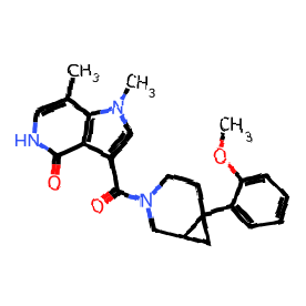 COc1ccccc1C12CCN(C(=O)c3cn(C)c4c(C)c[nH]c(=O)c34)CC1C2